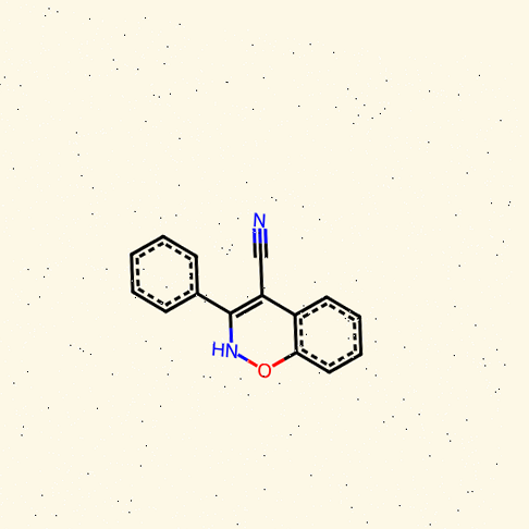 N#CC1=C(c2ccccc2)NOc2ccccc21